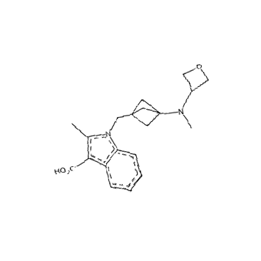 Cc1c(C(=O)O)c2ccccc2n1CC12CC(N(C)C3COC3)(C1)C2